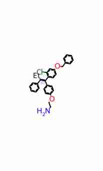 CC/C(=C(/c1ccc(OCCN)cc1)c1ccc(OCc2ccccc2)cc1Cl)c1ccccc1